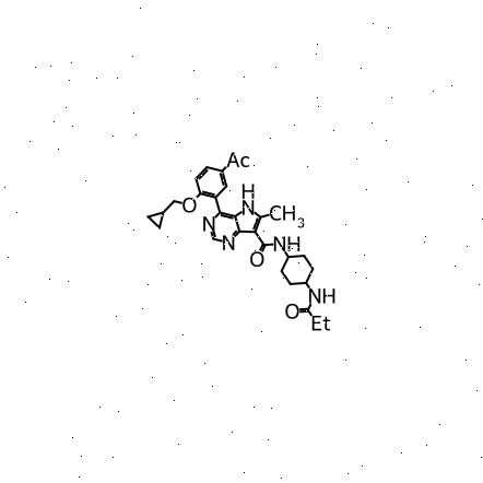 CCC(=O)NC1CCC(NC(=O)c2c(C)[nH]c3c(-c4cc(C(C)=O)ccc4OCC4CC4)ncnc23)CC1